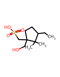 CCC1CCC(CO)(CS(=O)(=O)O)C1(C)C